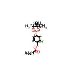 CNC(=O)OCc1ccc(B2OC(C)(C)C(C)(C)O2)cc1F